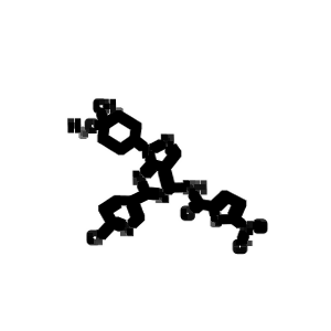 CC1(C)CCC(n2ncc3c(NC(=O)c4ccc([N+](=O)[O-])s4)nc(-c4ccc(Cl)nc4)nc32)CC1